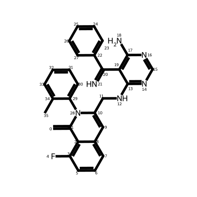 C=C1c2c(F)cccc2C=C(CNc2ncnc(N)c2C(=N)c2ccccc2)N1c1ccccc1C